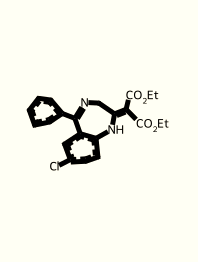 CCOC(=O)C(C(=O)OCC)=C1CN=C(c2ccccc2)c2cc(Cl)ccc2N1